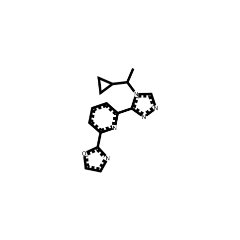 CC(C1CC1)n1cnnc1-c1cccc(-c2ncco2)n1